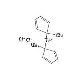 CC(C)(C)[C]1([Ti+2][C]2(C(C)(C)C)C=CC=C2)C=CC=C1.[Cl-].[Cl-]